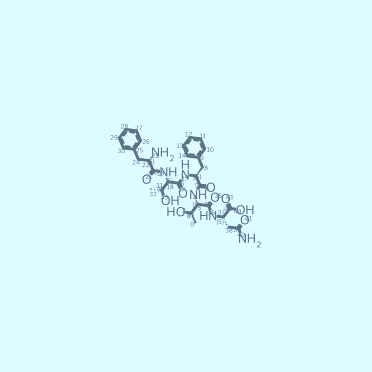 C[C@@H](O)[C@H](NC(=O)[C@H](Cc1ccccc1)NC(=O)[C@@H](NC(=O)[C@@H](N)Cc1ccccc1)[C@@H](C)O)C(=O)N[C@@H](CC(N)=O)C(=O)O